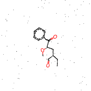 CCC([C]=O)CC(OC)C(=O)c1ccccc1